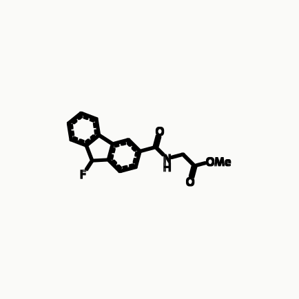 COC(=O)CNC(=O)c1ccc2c(c1)-c1ccccc1C2F